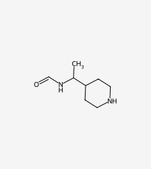 CC(NC=O)C1CCNCC1